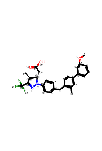 COc1cccc(-c2ccc(Cc3ccc(N4N=C(C(F)(F)F)[C@@H](C)[C@@H]4CC(=O)O)cc3)c(C)c2)c1